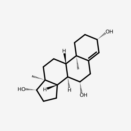 C[C@]12CC[C@H]3[C@@H]([C@@H](O)CC4=C[C@@H](O)CC[C@@]43C)[C@@H]1CC[C@@H]2O